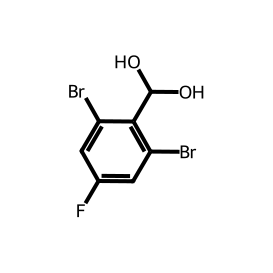 OC(O)c1c(Br)cc(F)cc1Br